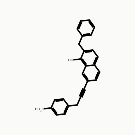 O=S(=O)(O)c1ccc(CC#Cc2ccc3ccc(Cc4ccccc4)c(O)c3c2)cc1